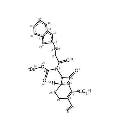 C=CC1=C(C(=O)O)N2C(=O)C(N(C(=O)CNc3cc4ccccc4s3)C(=O)OC(C)(C)C)[C@H]2SC1